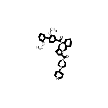 COc1ccccc1-c1ccc(C(=O)N2Cc3ccc(C(=O)N4CCN(c5ccncc5)CC4)n3C=C3C=CCC=C32)cc1OC